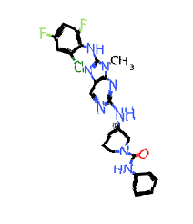 Cn1c(Nc2c(F)cc(F)cc2Cl)nc2cnc(N[C@@H]3CCCN(C(=O)Nc4ccccc4)C3)nc21